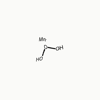 OOO.[Mn]